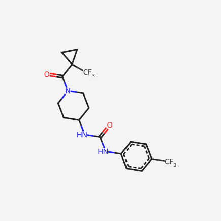 O=C(Nc1ccc(C(F)(F)F)cc1)NC1CCN(C(=O)C2(C(F)(F)F)CC2)CC1